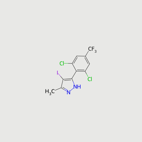 Cc1n[nH]c(-c2c(Cl)cc(C(F)(F)F)cc2Cl)c1I